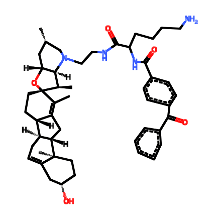 CC1=C2C[C@H]3[C@@H](CC=C4C[C@@H](O)CC[C@@]43C)[C@@H]2CC[C@]12O[C@@H]1C[C@H](C)CN(CCNC(=O)C(CCCCN)NC(=O)c3ccc(C(=O)c4ccccc4)cc3)[C@H]1[C@H]2C